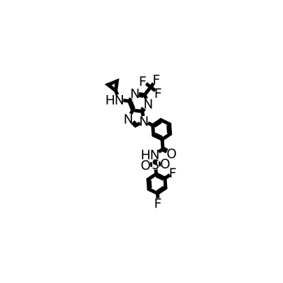 O=C(NS(=O)(=O)c1ccc(F)cc1F)c1cccc(-n2cnc3c(NC4CC4)nc(C(F)(F)F)nc32)c1